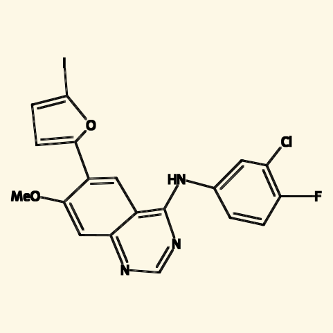 COc1cc2ncnc(Nc3ccc(F)c(Cl)c3)c2cc1-c1ccc(I)o1